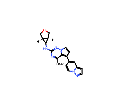 COc1nc(NC2[C@H]3COC[C@@H]23)nn2ccc(-c3ccn4nccc4c3)c12